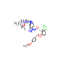 COc1ccc(COc2ccc(Cl)cc2CC(=O)Nc2ccnc(C(=O)NC(C)(C)C)c2)cc1